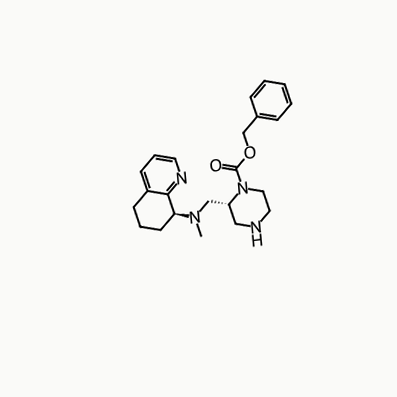 CN(C[C@H]1CNCCN1C(=O)OCc1ccccc1)[C@H]1CCCc2cccnc21